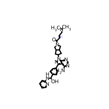 CN(C)C/C=C/C(=O)N1CC2CC(n3nc(-c4ccc(C(O)Nc5ccccn5)cc4)c4c(N)ncnc43)CC2C1